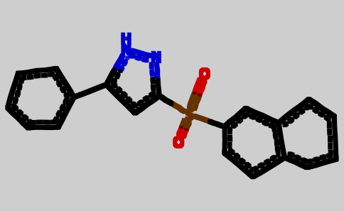 O=S(=O)(c1ccc2ccccc2c1)c1cc(-c2ccccc2)[nH]n1